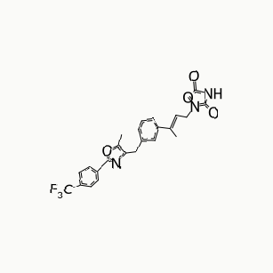 CC(=CCn1oc(=O)[nH]c1=O)c1cccc(Cc2nc(-c3ccc(C(F)(F)F)cc3)oc2C)c1